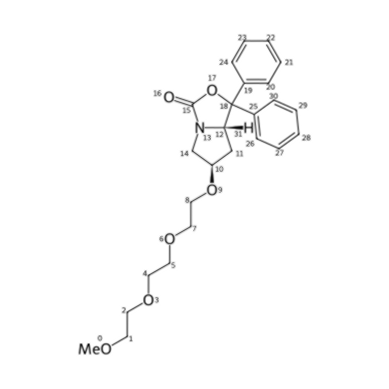 COCCOCCOCCO[C@@H]1C[C@@H]2N(C1)C(=O)OC2(c1ccccc1)c1ccccc1